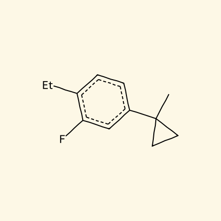 CCc1ccc(C2(C)CC2)cc1F